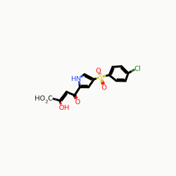 O=C(O)C(O)=CC(=O)c1cc(S(=O)(=O)c2ccc(Cl)cc2)c[nH]1